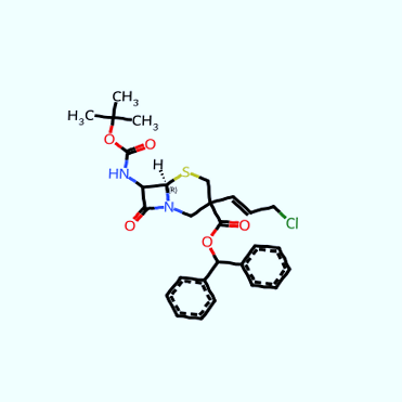 CC(C)(C)OC(=O)NC1C(=O)N2CC(C=CCCl)(C(=O)OC(c3ccccc3)c3ccccc3)CS[C@H]12